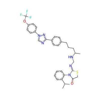 CC(CCCc1ccc(-c2ncn(-c3ccc(OC(F)(F)F)cc3)n2)cc1)NC/N=C1\SCC(=O)N1c1ccccc1C(C)C